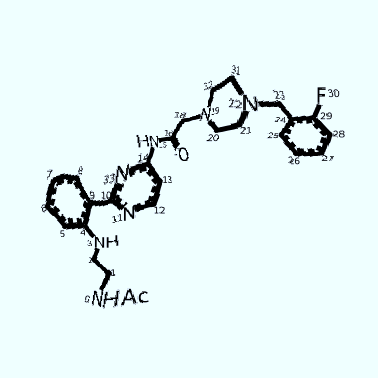 CC(=O)NCCNc1ccccc1-c1nccc(NC(=O)CN2CCN(Cc3ccccc3F)CC2)n1